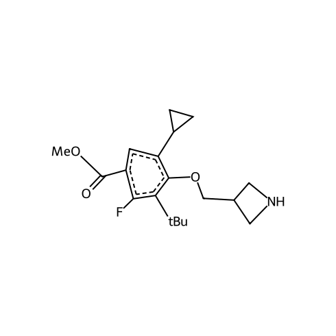 COC(=O)c1cc(C2CC2)c(OCC2CNC2)c(C(C)(C)C)c1F